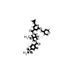 CO[C@@]12CN(C(=O)c3cc(OCC4CCOCC4)nc(C4CC4)c3)C[C@H]1CN(C(=O)c1ccc(S(N)(=O)=O)cc1F)C2